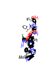 COc1cc(CN2CCN(C3CC4(CC5CCC(C4)N5c4ccc(C(=O)NS(=O)(=O)c5cnc(NCC6CCC(C)(O)CC6)c([N+](=O)[O-])c5)c(Oc5cc6c(F)c[nH]c6nc5OC)c4)C3)[C@H](c3ccccc3C(C)C)C2)ccn1